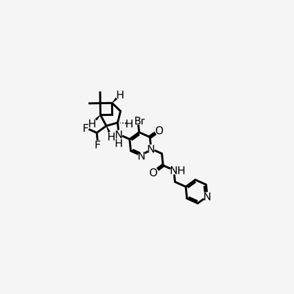 CC1(C)[C@H]2C[C@@H]1[C@@H](C(F)F)[C@H](Nc1cnn(CC(=O)NCc3ccncc3)c(=O)c1Br)C2